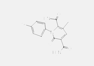 Cc1cc(C(N)=O)c(=O)n(-c2ccc(F)cc2)c1C(N)=O